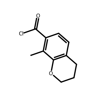 Cc1c(C(=O)Cl)ccc2c1OCCC2